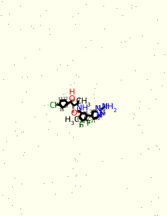 Cc1c(C(=O)NC(C)CC(O)c2ccc(Cl)cc2)cc(-c2ccn3nc(N)nc3c2)c(F)c1F